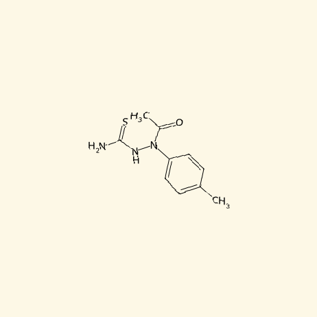 CC(=O)N(NC(N)=S)c1ccc(C)cc1